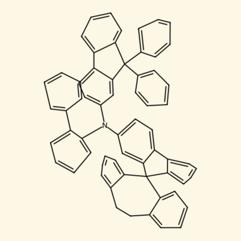 c1ccc(-c2ccccc2N(c2ccc3c(c2)C(c2ccccc2)(c2ccccc2)c2ccccc2-3)c2ccc3c(c2)C2(c4ccccc4CCc4ccccc42)c2ccccc2-3)cc1